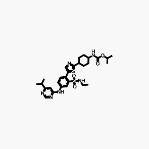 CCNS(=O)(=O)c1cc(Nc2cc(C(C)C)ncn2)ccc1-c1cnc(C2CCC(NC(=O)OC(C)C)CC2)s1